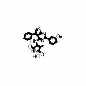 COc1cccc(-c2nc(NC3=C(C)C(=O)NC3=O)c3c(-c4ccccc4)csc3n2)c1.Cl